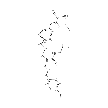 CCCNC(=O)N(CCCc1ccc(F)cc1)CCOc1ccc(CC(OCC)C(=O)O)cc1